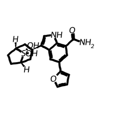 NC(=O)c1cc(-c2ccco2)cc2c([C@@H]3C[C@H]4CC[C@@H](C3)S4(O)O)c[nH]c12